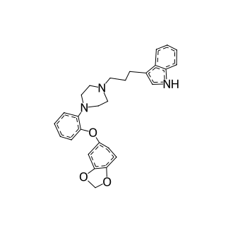 c1ccc(N2CCN(CCCc3c[nH]c4ccccc34)CC2)c(Oc2ccc3c(c2)OCO3)c1